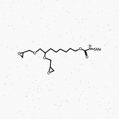 CSNC(=O)OCCCCCCC(COCC1CO1)OCC1CO1